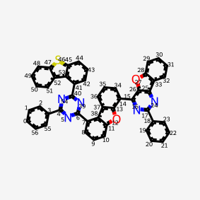 c1ccc(-c2nc(-c3cccc4oc5c(-c6nc(-c7ccccc7)nc7c6oc6ccccc67)cccc5c34)nc(-c3cccc4sc5ccccc5c34)n2)cc1